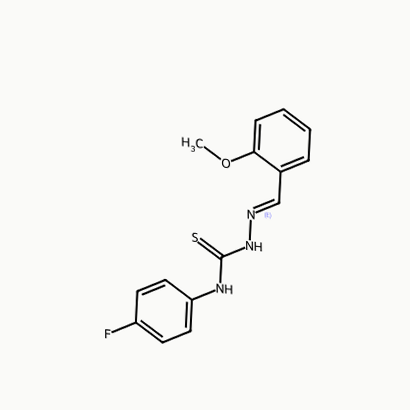 COc1ccccc1/C=N/NC(=S)Nc1ccc(F)cc1